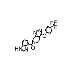 O=C(c1cccc2[nH]cnc12)N1CCc2c(ncnc2Oc2ccc(C(F)(F)F)cc2)C1